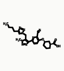 CCCCc1cn(Cc2c(-c3ccc(O[C@H]4CCC[C@H](C(=O)O)C4)c(C#N)n3)nnn2C)nn1